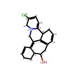 OC1CC2=C3C(=C4C=CCCC41)CN1CC(Cl)=CC=C1C3CC=C2